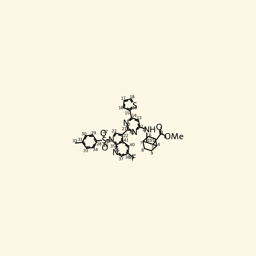 COC(=O)C1C2CCC(CC2)C1Nc1cc(-c2cccs2)nc(-c2cn(S(=O)(=O)c3ccc(C)cc3)c3ncc(F)cc23)n1